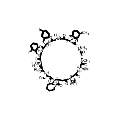 CC[C@H](C)[C@@H]1NC(=O)[C@H](CC(C)C)N(C)C(=O)C[C@@H](C(=O)N2CCCCC2)N(C)C(=O)[C@H](CC(C)C)NC(=O)C(C)(C)N(C)C(=O)[C@H](Cc2ccccc2F)NC(=O)[C@H](Cc2cccc(I)c2)NC(=O)CN(C)C(=O)[C@H](Cc2ccc(C)cc2)N(C)C(=O)CN(C)C(=O)CN(C)C1=O